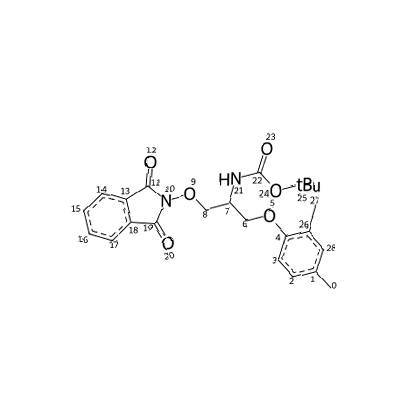 Cc1ccc(OCC(CON2C(=O)c3ccccc3C2=O)NC(=O)OC(C)(C)C)c(C)c1